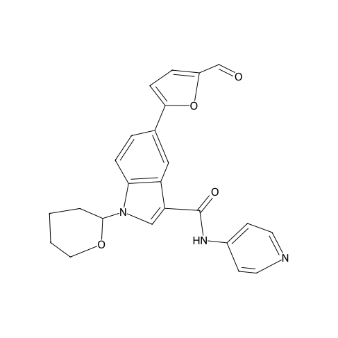 O=Cc1ccc(-c2ccc3c(c2)c(C(=O)Nc2ccncc2)cn3C2CCCCO2)o1